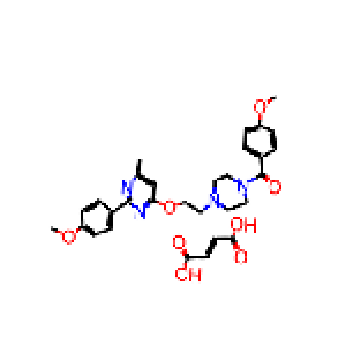 COc1ccc(C(=O)N2CCN(CCOc3cc(C)nc(-c4ccc(OC)cc4)n3)CC2)cc1.O=C(O)C=CC(=O)O